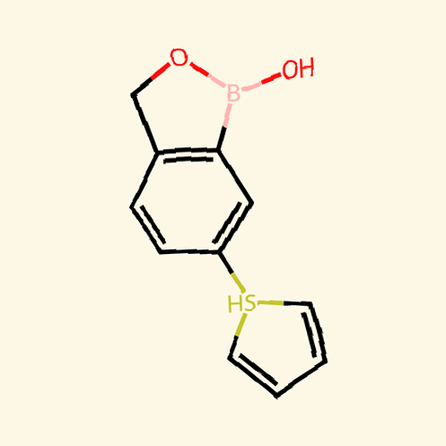 OB1OCc2ccc([SH]3C=CC=C3)cc21